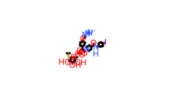 CC(C)S[C@@H]1OC(COC(=O)OC(C(=O)N2CCC(C(=O)Nc3ccc(I)cc3)CC2)c2ccc(OCN=[N+]=[N-])cc2)[C@H](O)C(O)C1O